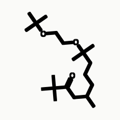 CC(CCCC(C)(C)OCCOC(C)(C)C)CC(=O)C(C)(C)C